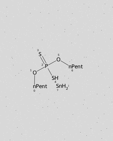 CCCCCOP(=S)(S)OCCCCC.[SnH2]